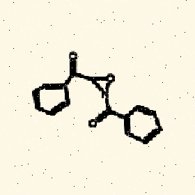 O=C(c1ccccc1)C1ON1C(=O)c1ccccc1